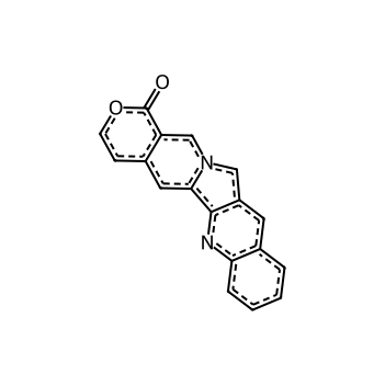 O=c1occc2cc3c4nc5ccccc5cc4cn3cc12